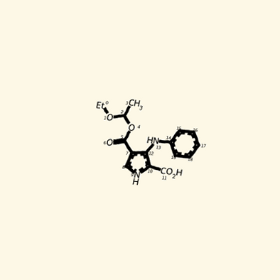 CCOC(C)OC(=O)c1c[nH]c(C(=O)O)c1Nc1ccccc1